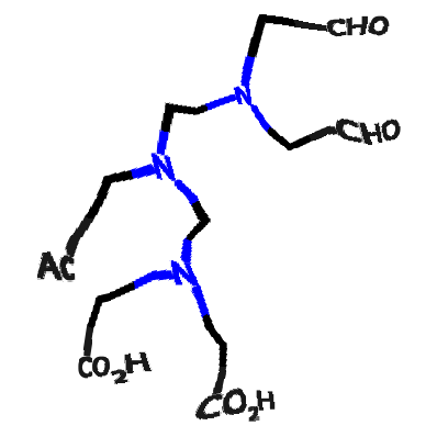 CC(=O)CN(CN(CC=O)CC=O)CN(CC(=O)O)CC(=O)O